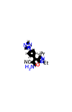 CCn1nc(C(C)C)c2c1OC(N)=C(C#N)C2c1ccc(-n2cncn2)cc1